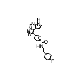 O=C(NCCc1ccc(F)cc1)[C@H]1CC[C@H](c2nnn3cnc4[nH]ccc4c23)CC1